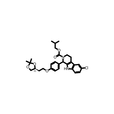 CC(C)COC(=O)N1CCc2c([nH]c3ccc(Cl)cc23)C1c1ccc(OCC[C@H]2COC(C)(C)O2)cc1